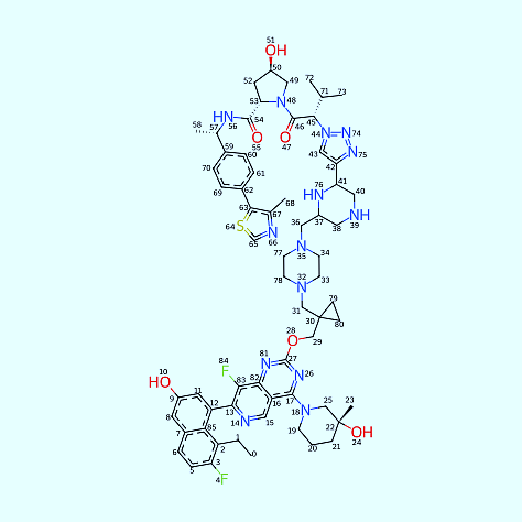 CCc1c(F)ccc2cc(O)cc(-c3ncc4c(N5CCC[C@@](C)(O)C5)nc(OCC5(CN6CCN(CC7CNCC(c8cn([C@H](C(=O)N9C[C@H](O)C[C@H]9C(=O)N[C@@H](C)c9ccc(-c%10scnc%10C)cc9)C(C)C)nn8)N7)CC6)CC5)nc4c3F)c12